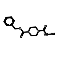 O=C(NO)N1CCN(C(=O)OCc2ccccc2)CC1